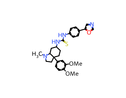 COc1ccc(C23CCC(NC(=S)Nc4ccc(-c5cnco5)cc4)CC2N(C)CC3)cc1OC